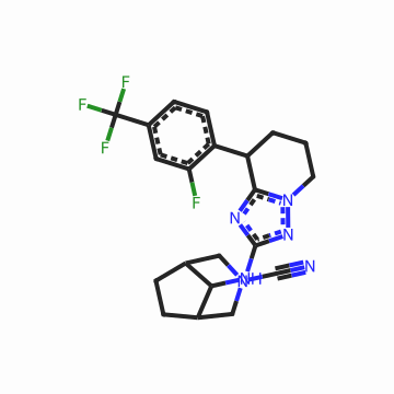 N#CN1CC2CCC(C1)C2Nc1nc2n(n1)CCCC2c1ccc(C(F)(F)F)cc1F